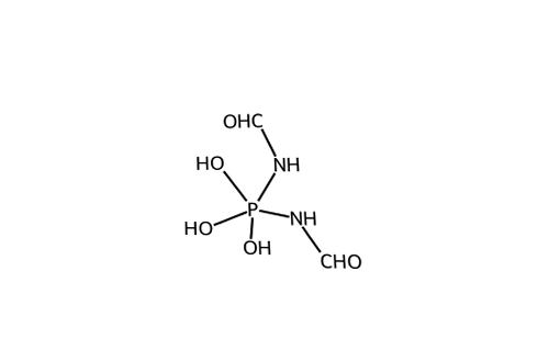 O=CNP(O)(O)(O)NC=O